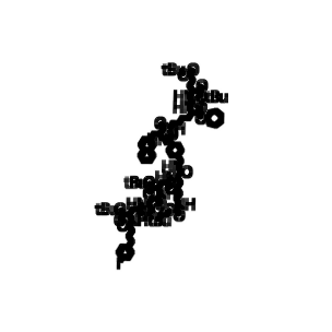 C=CCOC(=O)NCCCCC(NC(=O)CC(NC(=O)CC(NC(=O)CC(NC(=O)CCCc1ccc(I)cc1)C(=O)OC(C)(C)C)C(=O)OC(C)(C)C)C(=O)OC(C)(C)C)C(=O)NCC1CCC(C(=O)NC(Cc2ccc3ccccc3c2)C(=O)NCCCCC(NC(=O)NC(CCC(=O)OC(C)(C)C)C(=O)OC(C)(C)C)C(=O)OC2CCCCCC2)CC1